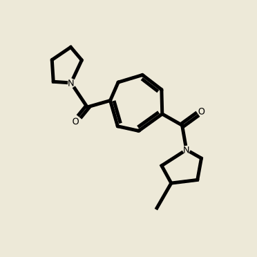 CC1CCN(C(=O)C2=CC=C(C(=O)N3CCCC3)CC=C2)C1